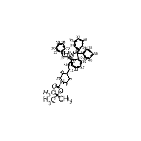 CC(C)(C)OC(=O)N1CCC(CCC[C@H](Cc2ccccc2)NC(c2ccccc2)(c2ccccc2)c2ccccc2)CC1